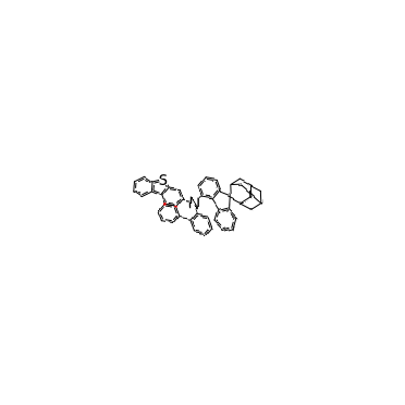 c1ccc(-c2ccccc2N(c2ccc3c(c2)sc2ccccc23)c2cccc3c2-c2ccccc2C32C3CC4CC(C3)CC2C4)cc1